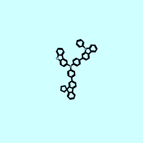 c1ccc(-n2c3ccccc3c3ccc(-c4ccc(N(c5ccc(-c6ccc7c(c6)C6(CCCC6)c6ccccc6-7)cc5)c5ccc6oc7ccccc7c6c5)cc4)cc32)cc1